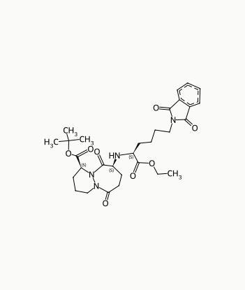 CCOC(=O)[C@H](CCCCN1C(=O)c2ccccc2C1=O)N[C@H]1CCC(=O)N2CCC[C@@H](C(=O)OC(C)(C)C)N2C1=O